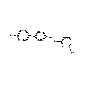 FC(F)(F)c1cc(NCc2ccc(-c3ccc(Cl)nc3)cn2)ccn1